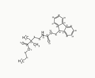 CCCOC(=O)C(C)(C)CCNC(=O)OCC1c2ccccc2-c2ccccc21